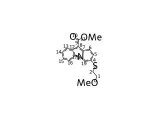 COCCSc1ccc2c(C(=O)OC)c3ccccc3n2c1